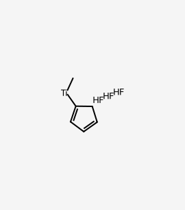 F.F.F.[CH3][Ti][C]1=CC=CC1